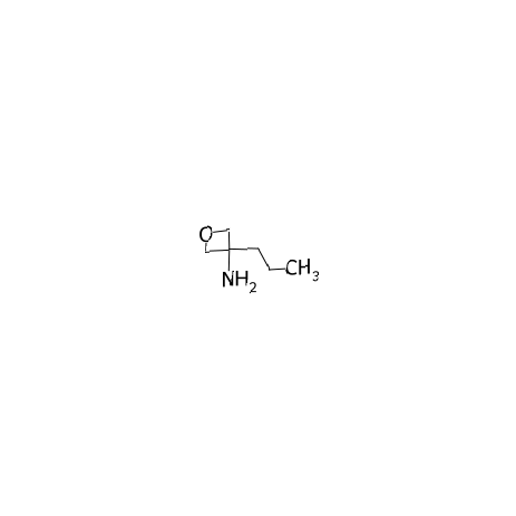 CCCC1(N)COC1